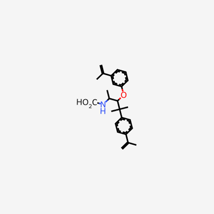 C=C(C)c1ccc(C(C)(C)C(Oc2cccc(C(=C)C)c2)C(C)NC(=O)O)cc1